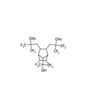 CC(=O)OC(CC1C(CC(OC(C)=O)(C(F)(F)F)C(F)(F)F)C2C(C)C(C)C1C2C(O)(C(F)(F)F)C(F)(F)F)(C(F)(F)F)C(F)(F)F